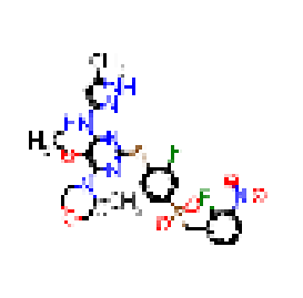 COc1c(Nc2cc(C)[nH]n2)nc(Sc2ccc(S(=O)(=O)Cc3cccc([N+](=O)[O-])c3F)cc2F)nc1N1CCOC[C@@H]1C